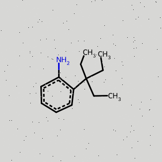 CCC(CC)(CC)c1ccccc1N